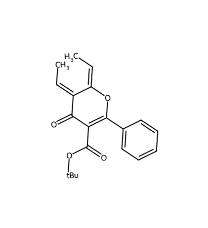 C/C=c1/oc(-c2ccccc2)c(C(=O)OC(C)(C)C)c(=O)/c1=C/C